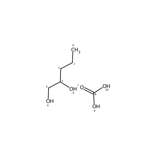 CCCC(O)CO.O=C(O)O